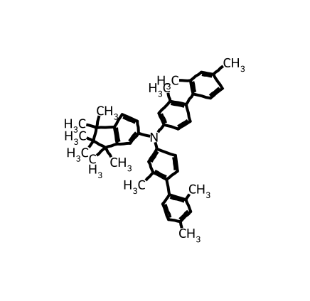 Cc1ccc(-c2ccc(N(c3ccc(-c4ccc(C)cc4C)c(C)c3)c3ccc4c(c3)C(C)(C)C(C)(C)C4(C)C)cc2C)c(C)c1